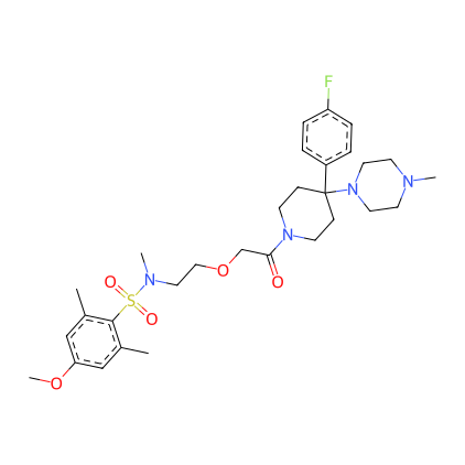 COc1cc(C)c(S(=O)(=O)N(C)CCOCC(=O)N2CCC(c3ccc(F)cc3)(N3CCN(C)CC3)CC2)c(C)c1